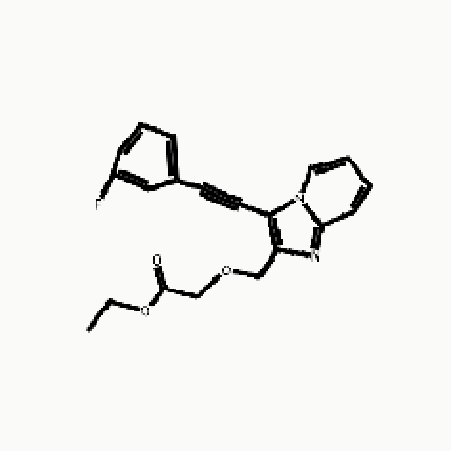 CCOC(=O)COCc1nc2ccccn2c1C#Cc1cccc(F)c1